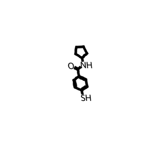 O=C(NC1CCCC1)c1ccc(S)cc1